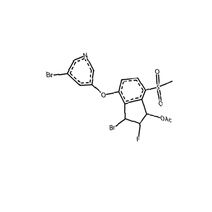 CC(=O)OC1c2c(S(C)(=O)=O)ccc(Oc3cncc(Br)c3)c2C(Br)C1F